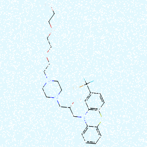 OCCOCCOCCN1CCN(CC(O)CN2c3ccccc3Sc3ccc(C(F)(F)P)cc32)CC1